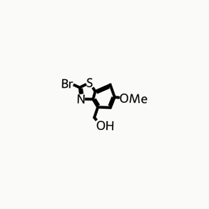 COc1cc(CO)c2nc(Br)sc2c1